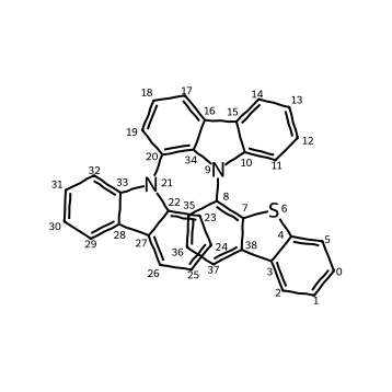 c1ccc2c(c1)sc1c(-n3c4ccccc4c4cccc(-n5c6ccccc6c6ccccc65)c43)cccc12